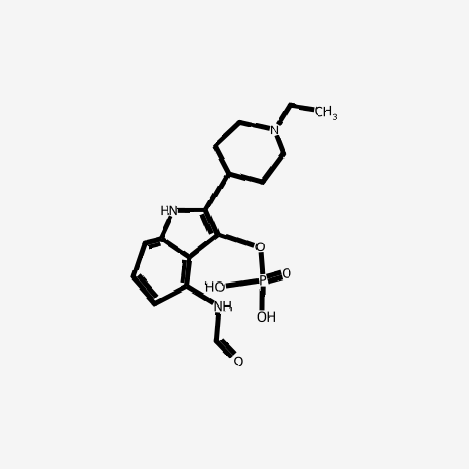 CCN1CCC(c2[nH]c3cccc(NC=O)c3c2OP(=O)(O)O)CC1